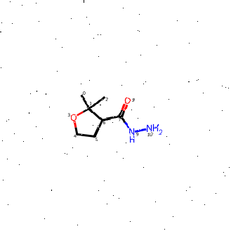 CC1(C)OCCC1C(=O)NN